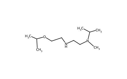 CC(C)OCCNCCN(C)C(C)C